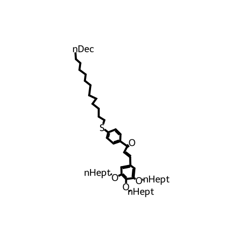 CCCCCCCCCCCCCCCCCCCCCCSc1ccc(C(=O)C=Cc2cc(OCCCCCCC)c(OCCCCCCC)c(OCCCCCCC)c2)cc1